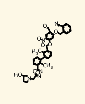 Cc1c(COc2cc(OCc3ccccc3C#N)c(C=O)cc2[N+](=O)[O-])cccc1-c1cccc(-c2nnc(CN3CCC(O)C3)o2)c1C